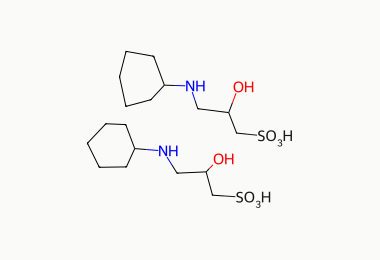 O=S(=O)(O)CC(O)CNC1CCCCC1.O=S(=O)(O)CC(O)CNC1CCCCC1